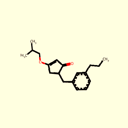 CCCc1cccc(CC2CC(OCC(C)C)=CC2=O)c1